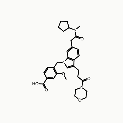 COc1cc(C(=O)O)ccc1Cn1cc(CCC(=O)N2CCOCC2)c2ccc(CC(=O)N(C)C3CCCC3)cc21